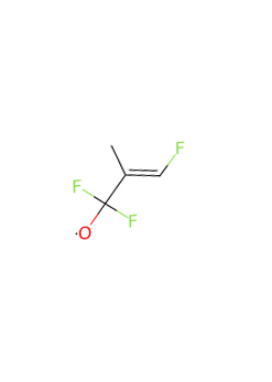 C/C(=C\F)C([O])(F)F